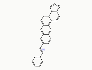 C(=C\c1ccc2cc3c(ccc4c5ccsc5ccc34)cc2c1)/c1ccccc1